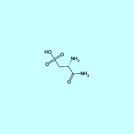 NC(=O)[C@@H](N)CS(=O)(=O)O